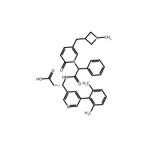 Cc1cccc(C)c1-c1cncc([C@H](CC(=O)O)NC(=O)C(c2ccccc2)n2cc(CC3CN(C)C3)ccc2=O)c1